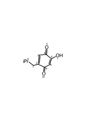 CC(C)CC1=CC(=O)C(O)=CC1=O